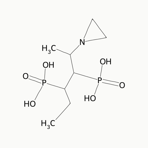 CCC(C(C(C)N1CC1)P(=O)(O)O)P(=O)(O)O